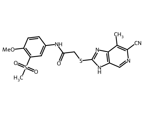 COc1ccc(NC(=O)CSc2nc3c(C)c(C#N)ncc3[nH]2)cc1S(C)(=O)=O